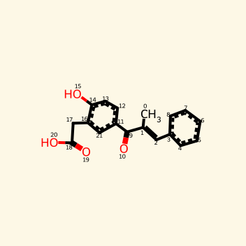 C/C(=C\c1ccccc1)C(=O)c1ccc(O)c(CC(=O)O)c1